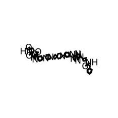 O=C1CC[C@H](n2nnc3ccc(N4CCN(C5CC6(CCN(c7ccc(Nc8ncnc9c8ncn9C8CC(NC(=O)Cc9ccccc9)C8)cc7)CC6)C5)CC4)cc3c2=O)C(=O)N1